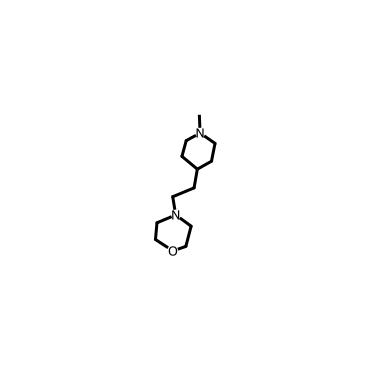 CN1CCC(CCN2CCOCC2)CC1